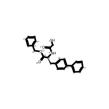 O=C(CS)N[C@@H](Cc1ccc(-c2ccccc2)cc1)C(=O)OCc1ccccc1